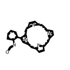 O=C=Nc1ccccc1-c1cc2cc3nc(cc4ccc(cc5nc(cc1[nH]2)C=C5)[nH]4)C=C3